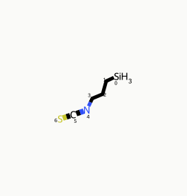 [SiH3]CCCN=C=S